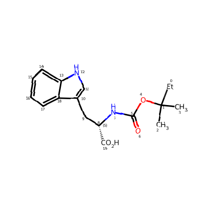 CCC(C)(C)OC(=O)N[C@@H](Cc1c[nH]c2ccccc12)C(=O)O